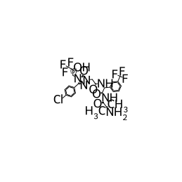 CC(C)(N)C(=O)NC(=O)C(NC(=O)Cn1nc(-c2ccc(Cl)cc2)n(C[C@H](O)C(F)(F)F)c1=O)c1cccc(C(F)(F)F)c1